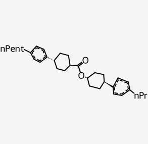 CCCCCc1ccc([C@H]2CC[C@H](C(=O)O[C@H]3CC[C@H](c4ccc(CCC)cc4)CC3)CC2)cc1